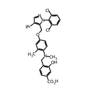 Cc1cc(OCc2c(C(C)C)cnn2-c2c(Cl)cccc2Cl)ccc1N(C)Cc1ccc(C(=O)O)cc1O